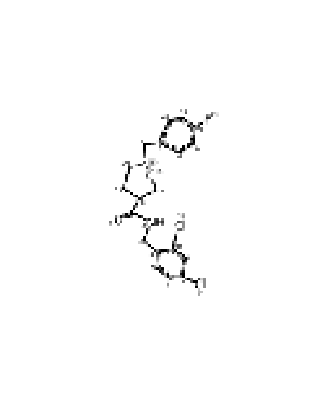 O=C(NCc1ccc(Cl)cc1Cl)C1CCN(Cc2ccc(F)cc2)CC1